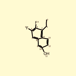 CCc1c(F)c(F)cc2cc(O)ccc12